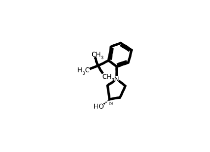 CC(C)(C)c1ccccc1N1CC[C@H](O)C1